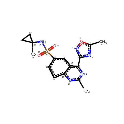 Cc1nc(-c2noc(C)n2)c2cc(S(=O)(=O)NC3(C#N)CC3)ccc2n1